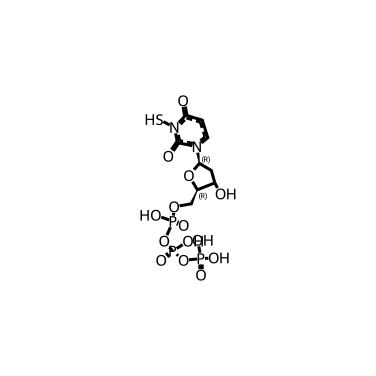 O=c1ccn([C@H]2CC(O)[C@@H](COP(=O)(O)OP(=O)(O)OP(=O)(O)O)O2)c(=O)n1S